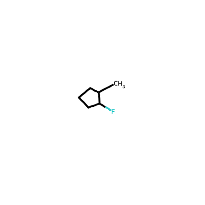 CC1CCCC1F